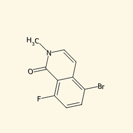 Cn1ccc2c(Br)ccc(F)c2c1=O